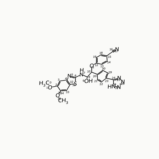 COc1cc2nc(NC(O)C(Oc3ccc(C#N)cc3)c3ccc(-c4nnn[nH]4)cc3)sc2cc1OC